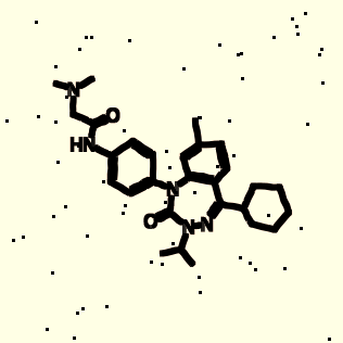 Cc1ccc2c(c1)N(c1ccc(NC(=O)CN(C)C)cc1)C(=O)N(C(C)C)N=C2C1CCCCC1